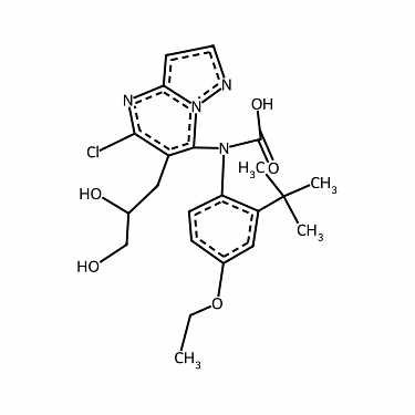 CCOc1ccc(N(C(=O)O)c2c(CC(O)CO)c(Cl)nc3ccnn23)c(C(C)(C)C)c1